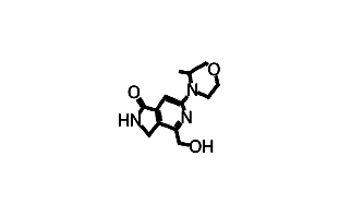 CC1COCCN1c1cc2c(c(CO)n1)CNC2=O